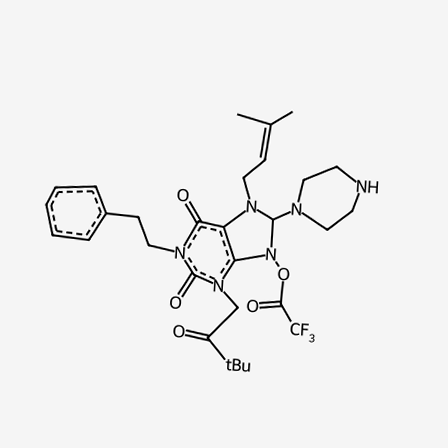 CC(C)=CCN1c2c(n(CC(=O)C(C)(C)C)c(=O)n(CCc3ccccc3)c2=O)N(OC(=O)C(F)(F)F)C1N1CCNCC1